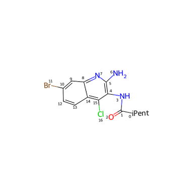 CCCC(C)C(=O)Nc1c(N)nc2cc(Br)ccc2c1Cl